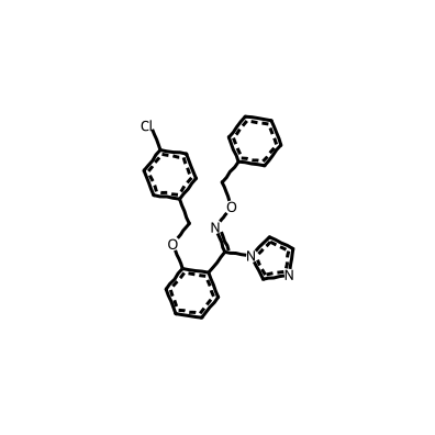 Clc1ccc(COc2ccccc2C(=NOCc2ccccc2)n2ccnc2)cc1